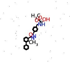 COC(=O)[C@H](CO)NCc1ccc(-c2nnc(-c3cccc(-c4ccccc4)c3C)o2)cc1